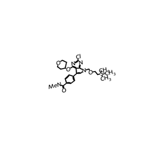 CNC(=O)c1ccc(-c2cn(COCC[Si](C)(C)C)c3nc(Cl)nc(OC4CCOCC4)c23)cc1